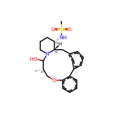 C[C@H]1COc2ccccc2-c2cccc(c2)C[C@H]2[C@@H](NS(C)(=O)=O)CCCN2C1O